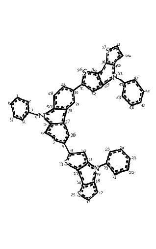 c1ccc(-n2c3ccc(-c4cc5c(s4)c4sccc4n5-c4ccccc4)cc3c3cc(-c4cc5c(s4)c4sccc4n5-c4ccccc4)ccc32)cc1